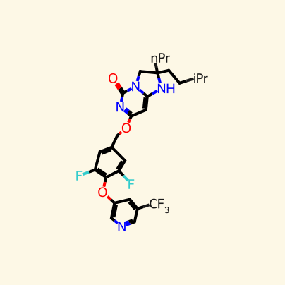 CCCC1(CCC(C)C)Cn2c(cc(OCc3cc(F)c(Oc4cncc(C(F)(F)F)c4)c(F)c3)nc2=O)N1